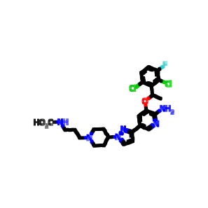 CC(Oc1cc(-c2ccn(C3CCN(CCCNC(=O)O)CC3)n2)cnc1N)c1c(Cl)ccc(F)c1Cl